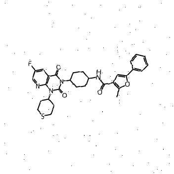 Cc1oc(-c2ccccc2)cc1C(=O)NC1CCC(n2c(=O)c3cc(F)cnc3n(C3CCSCC3)c2=O)CC1